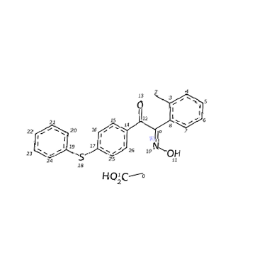 CC(=O)O.Cc1ccccc1/C(=N\O)C(=O)c1ccc(Sc2ccccc2)cc1